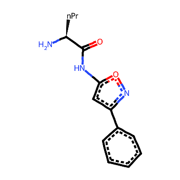 CCC[C@H](N)C(=O)Nc1cc(-c2ccccc2)no1